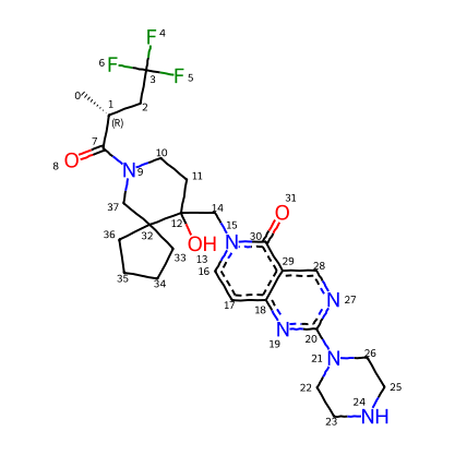 C[C@H](CC(F)(F)F)C(=O)N1CCC(O)(Cn2ccc3nc(N4CCNCC4)ncc3c2=O)C2(CCCC2)C1